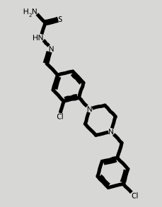 NC(=S)NN=Cc1ccc(N2CCN(Cc3cccc(Cl)c3)CC2)c(Cl)c1